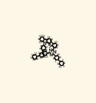 c1ccc(-c2ccc(-c3nc(-c4ccccc4)nc(-c4cccc5c4sc4c5ccc5c6ccccc6n(-c6ccc(-c7cccc(-c8ccccc8)c7)cc6)c54)n3)cc2)cc1